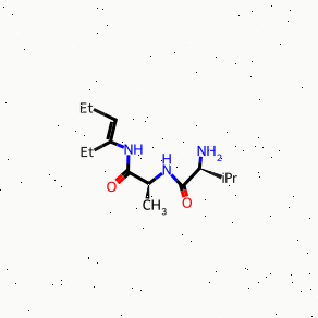 CC/C=C(\CC)NC(=O)[C@H](C)NC(=O)[C@@H](N)C(C)C